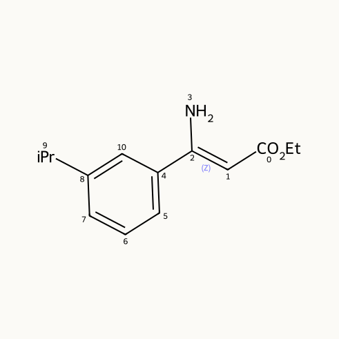 CCOC(=O)/C=C(\N)c1cccc(C(C)C)c1